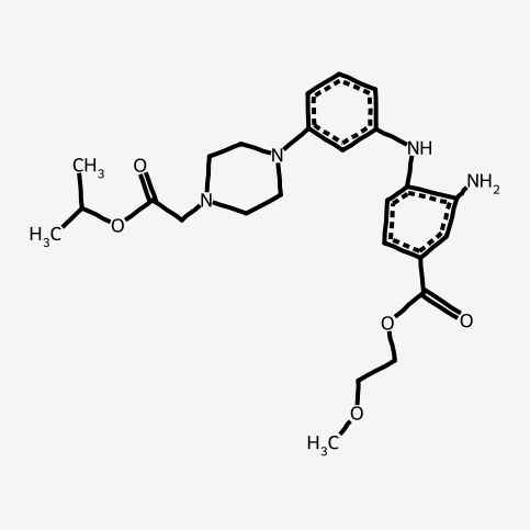 COCCOC(=O)c1ccc(Nc2cccc(N3CCN(CC(=O)OC(C)C)CC3)c2)c(N)c1